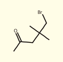 CC(=O)CC(C)(C)CBr